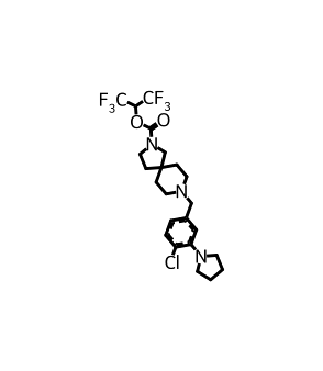 O=C(OC(C(F)(F)F)C(F)(F)F)N1CCC2(CCN(Cc3ccc(Cl)c(N4CCCC4)c3)CC2)C1